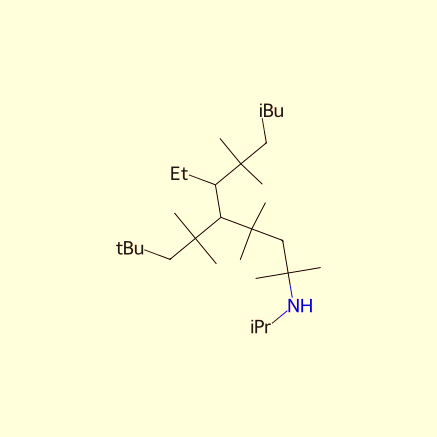 CCC(C)CC(C)(C)C(CC)C(C(C)(C)CC(C)(C)C)C(C)(C)CC(C)(C)NC(C)C